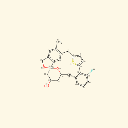 Cc1cc2c(cc1Cc1ccc(-c3ccccc3F)s1)[C@]1(CC(O)CC(C)O1)OC2